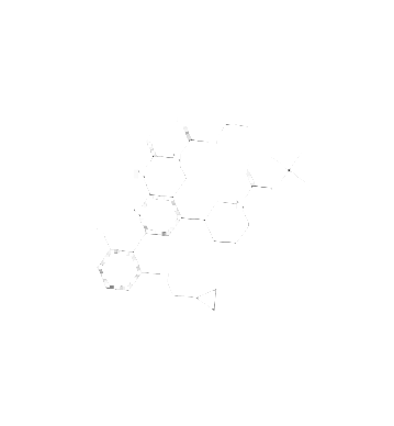 CCOC(=O)N1Cc2c(C3CCCN(C(=O)OC(C)(C)C)C3)cc(-c3c(O)cccc3OCC3CC3)nc2NC1=O